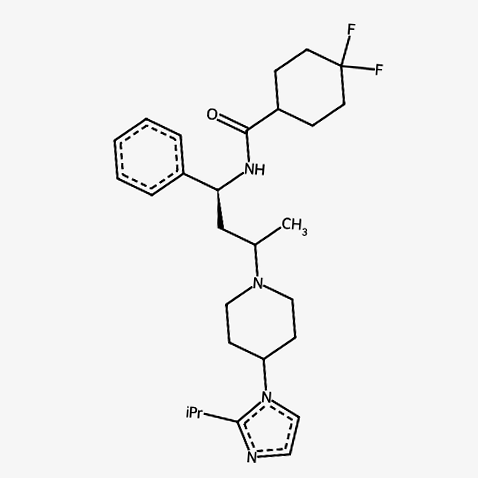 CC(C)c1nccn1C1CCN(C(C)C[C@H](NC(=O)C2CCC(F)(F)CC2)c2ccccc2)CC1